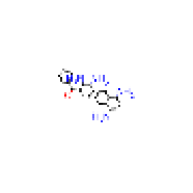 Nc1ccc(N)c2ccccc12.Nc1cccc(C(=O)c2ccccc2)c1N